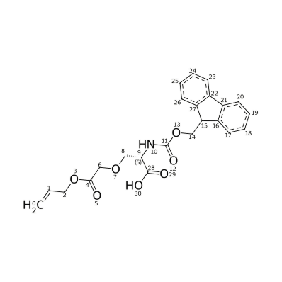 C=CCOC(=O)COC[C@H](NC(=O)OCC1c2ccccc2-c2ccccc21)C(=O)O